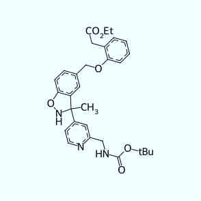 CCOC(=O)Cc1ccccc1OCc1ccc2c(c1)C(C)(c1ccnc(CNC(=O)OC(C)(C)C)c1)NO2